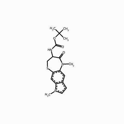 CN1C(=O)C(NC(=O)OC(C)(C)C)CSc2cc3c(ccn3C)cc21